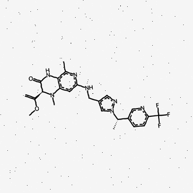 C=C(OC)[C@H]1C(=O)Nc2c(cc(NCc3cnn([C@@H](C)c4ccc(C(F)(F)F)nc4)c3)nc2C)N1C